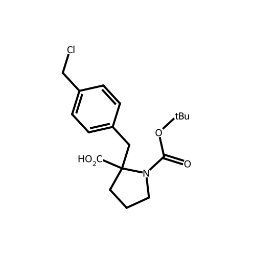 CC(C)(C)OC(=O)N1CCCC1(Cc1ccc(CCl)cc1)C(=O)O